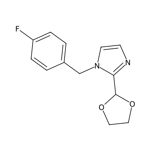 Fc1ccc(Cn2ccnc2C2OCCO2)cc1